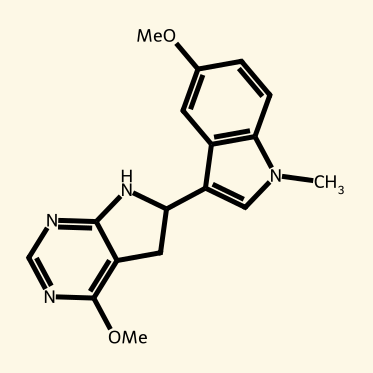 COc1ccc2c(c1)c(C1Cc3c(ncnc3OC)N1)cn2C